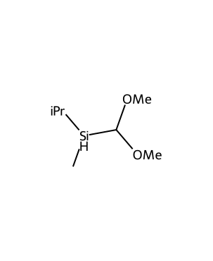 COC(OC)[SiH](C)C(C)C